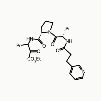 CCOC(=O)C(=O)C(NC(=O)[C@@H]1CCCN1C(=O)[C@@H](NC(=O)CCc1cccnc1)C(C)C)C(C)C